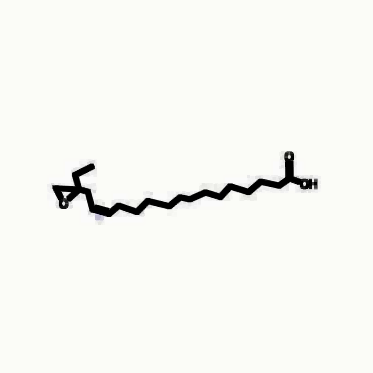 CCC1(C/C=C\CCCCCCCCCCCCC(=O)O)CO1